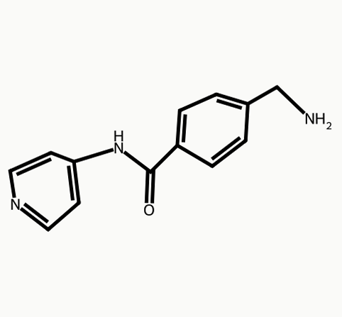 NCc1ccc(C(=O)Nc2ccncc2)cc1